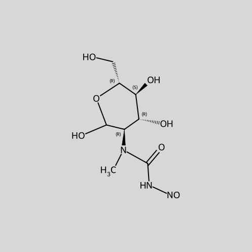 CN(C(=O)NN=O)[C@H]1C(O)O[C@H](CO)[C@@H](O)[C@@H]1O